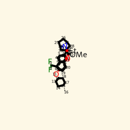 CCC(c1ccc2c(C(F)F)c(O[C@H]3CC[C@@H](C)CC3)ccc2c1)N1C2CCC1CC(C(=O)OC)C2